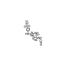 CCc1c(NC2CCNC2)ncnc1-n1nc(Nc2ccc(S(N)(=O)=O)cc2)nc1N